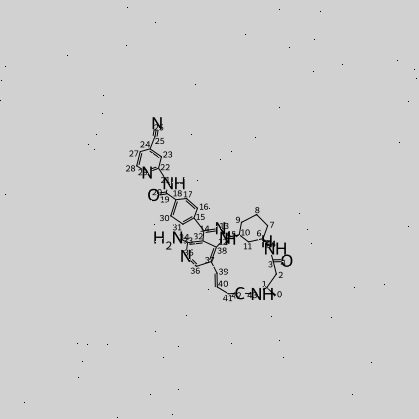 C[C@@H]1CC(=O)N[C@@H]2CCC[C@H](C2)n2nc(-c3ccc(C(=O)Nc4cc(C#N)ccn4)cc3)c3c(N)ncc(c32)/C=C/CCN1